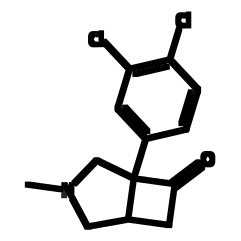 CN1CC2CC(=O)C2(c2ccc(Cl)c(Cl)c2)C1